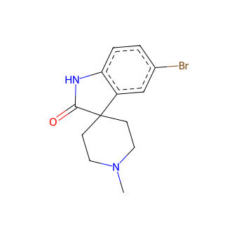 CN1CCC2(CC1)C(=O)Nc1ccc(Br)cc12